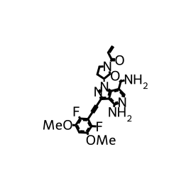 C=CC(=O)N1CC[C@H](n2nc(C#Cc3c(F)c(OC)cc(OC)c3F)c3c(N)ncc(C(N)=O)c32)C1